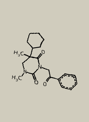 CN1CC(C)(C2CCCCC2)C(=O)N(CC(=O)c2ccccc2)C1=O